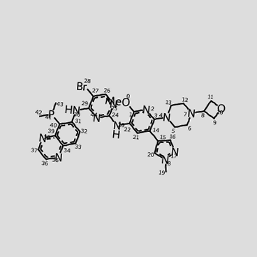 COc1nc(N2CCN(C3COC3)CC2)c(-c2cnn(C)c2)cc1Nc1ncc(Br)c(Nc2ccc3nccnc3c2P(C)C)n1